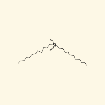 C=C[Si](C=C)(CCCCCCCCCCCC)CCCCCCCCCCCC